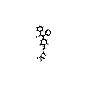 CCC(=C(c1ccccc1)c1ccc(C=CC(=O)NS(C)(=O)=O)cc1)c1ccccc1